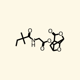 CCC(C)(C)C(=O)NCC(=O)OC1C2CC3C(=O)OC1C3O2